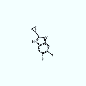 Fc1cc2[nH]c(C3CC3)nc2cc1I